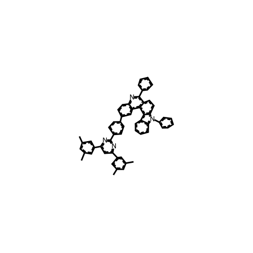 Cc1cc(C)cc(-c2cc(-c3cc(C)cc(C)c3)nc(-c3ccc(-c4ccc5nc(-c6ccccc6)c6ccc7c(c8ccccc8n7-c7ccccc7)c6c5c4)cc3)n2)c1